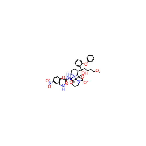 COCCCCC(O)(c1ccccc1Oc1ccccc1)C1CCC[N+](C(=O)NC2CCCNC2)(C2(C(C)(C)C)[C@H](NC(=O)Oc3ccc([N+](=O)[O-])cc3)CCCN2C(=O)[O-])C1